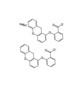 O=C([O-])c1ccccc1Oc1cccc2c1Cc1ccccc1O2.O=C([O-])c1ccccc1Oc1cccc2c1Cc1ccccc1O2.[Na+].[Na+]